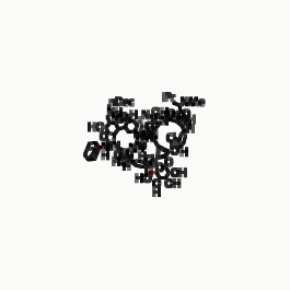 CCCCCCCCCCCNCC1[C@H](O)C2C3C[C@H](CC[C@H]3O)[C@H]3NC(=O)[C@@H]4NC(=O)[C@H](CC(N)=O)NC(=O)[C@H](NC(=O)[C@@H](CC(C)C)NC)[C@H](O)[C@H]5CC[C@@H](Oc6cc4cc(c6O[C@@H]4O[C@H](CO)[C@@H](O)[C@H](O)[C@H]4O)O[C@@H]4CC[C@@H](C[C@@H]4Cl)[C@@H](O)[C@H](NC3=O)C(=O)N[C@H](C(=O)NC3C4CC6CC(C4)CC3C6)C2C[C@@H]1O)[C@H](Cl)C5